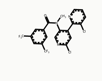 CN(C(=O)c1cc(C(F)(F)F)cc(C(F)(F)F)c1)c1cnc(Cl)cc1-c1ncccc1Cl